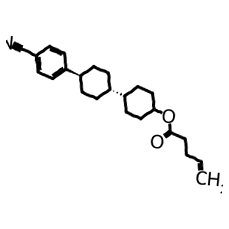 C=CCCC(=O)OC1CCC([C@H]2CC[C@H](c3ccc(C#N)cc3)CC2)CC1